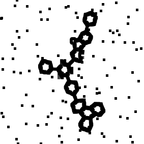 c1ccc(-c2ccc3c(c2)oc2cc(-c4nc(-c5ccccc5)nc(-c5ccc(-c6ccc7c8ccccc8c8ccccc8c7c6)cc5)n4)ccc23)cc1